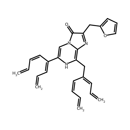 C=C/C=C\C(=C/C=C)Cc1[nH]c(C(/C=C\C=C)=C/C=C)cn2c(=O)c(Cc3ccco3)nc1-2